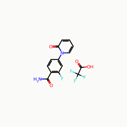 NC(=O)c1ccc(-n2ccccc2=O)cc1F.O=C(O)C(F)(F)F